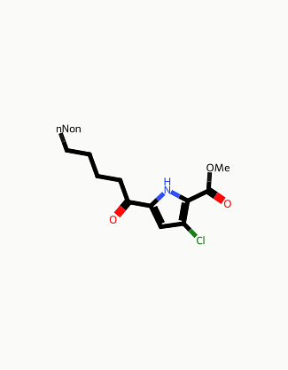 CCCCCCCCCCCCCC(=O)c1cc(Cl)c(C(=O)OC)[nH]1